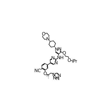 CC(C)OCCOc1nn([C@H]2CC[C@H](N3CCOCC3)CC2)cc1Nc1ncc(-c2ccc(C#N)c(O[C@@H](C)Cn3cnnn3)c2)cn1